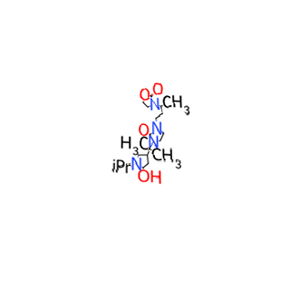 CC(CCN1CCN(C(C)(C)C2CC(O)N(C(C)C)C2)C1=O)N1CCOC1=O